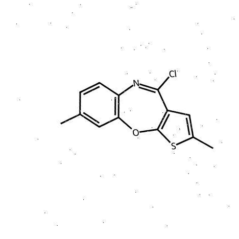 Cc1ccc2c(c1)Oc1sc(C)cc1C(Cl)=N2